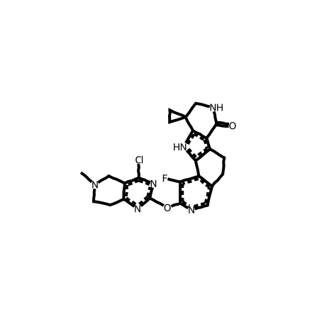 CN1CCc2nc(Oc3ncc4c(c3F)-c3[nH]c5c(c3CC4)C(=O)NCC53CC3)nc(Cl)c2C1